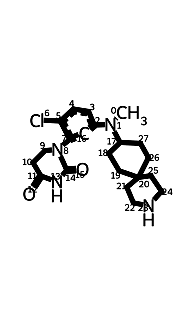 CN(c1ccc(Cl)c(N2CCC(=O)NC2=O)c1)C1CCC2(CCNCC2)CC1